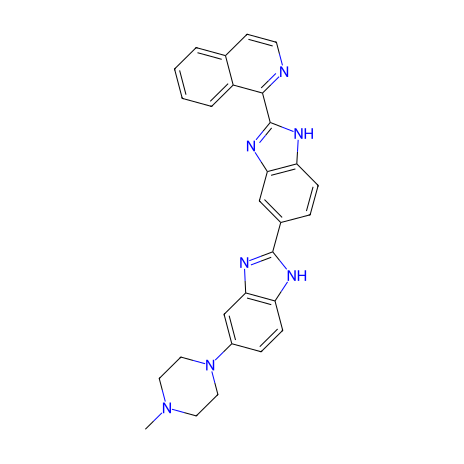 CN1CCN(c2ccc3[nH]c(-c4ccc5[nH]c(-c6nccc7ccccc67)nc5c4)nc3c2)CC1